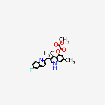 COC(=O)C(=O)Oc1cc(C)cc2c1C(C)=C(Cc1ccc3cc(F)ccc3n1)CN2